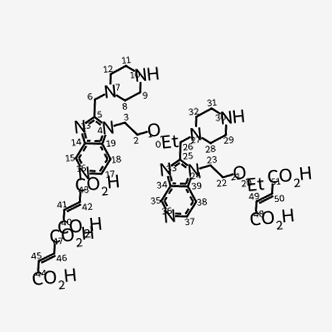 CCOCCn1c(CN2CCNCC2)nc2cnccc21.CCOCCn1c(CN2CCNCC2)nc2cnccc21.O=C(O)C=CC(=O)O.O=C(O)C=CC(=O)O.O=C(O)C=CC(=O)O